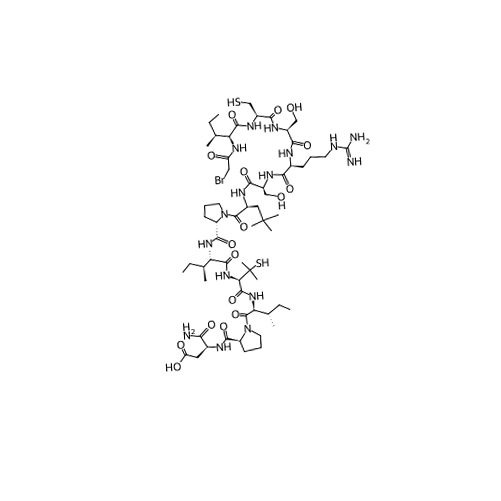 CC[C@H](C)[C@H](NC(=O)CBr)C(=O)N[C@@H](CS)C(=O)N[C@@H](CO)C(=O)N[C@@H](CCCNC(=N)N)C(=O)N[C@@H](CO)C(=O)N[C@@H](CC(C)(C)C)C(=O)N1CCC[C@H]1C(=O)N[C@H](C(=O)N[C@H](C(=O)N[C@H](C(=O)N1CCC[C@H]1C(=O)N[C@@H](CC(=O)O)C(N)=O)[C@@H](C)CC)C(C)(C)S)[C@@H](C)CC